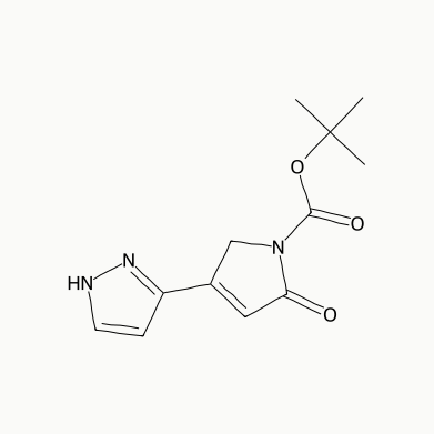 CC(C)(C)OC(=O)N1CC(c2cc[nH]n2)=CC1=O